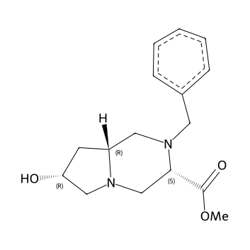 COC(=O)[C@@H]1CN2C[C@H](O)C[C@@H]2CN1Cc1ccccc1